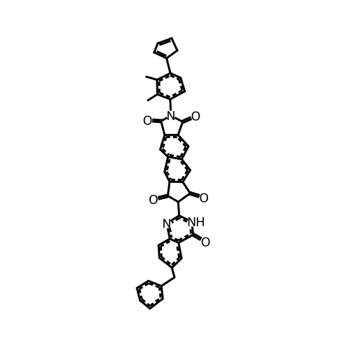 Cc1c(C2=CC=CC2)ccc(N2C(=O)c3cc4cc5c(cc4cc3C2=O)C(=O)C(c2nc3ccc(Cc4ccccc4)cc3c(=O)[nH]2)C5=O)c1C